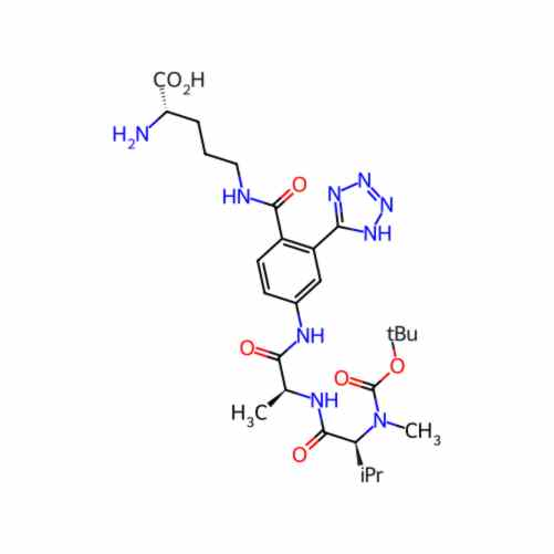 CC(C)[C@@H](C(=O)N[C@@H](C)C(=O)Nc1ccc(C(=O)NCCC[C@H](N)C(=O)O)c(-c2nnn[nH]2)c1)N(C)C(=O)OC(C)(C)C